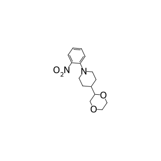 O=[N+]([O-])c1ccccc1N1CCC(C2COCCO2)CC1